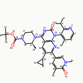 Cc1ccnc(C(C)C)c1-n1c(=O)nc(N2CCN(C(=O)OC(C)(C)C)C[C@@H]2C)c2cc(C3CC3)c(-c3cc(C)c(=O)n(C)c3)nc21